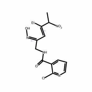 CC/C(=C\C(CNC(=O)c1cccnc1Cl)=N/O)C(C)[N+](=O)[O-]